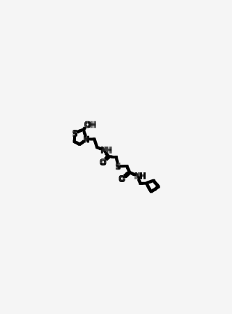 O=C(CSCC(=O)NCC1CCC1)NCCN1CCSC1O